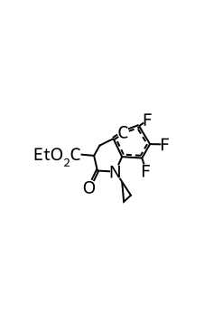 CCOC(=O)C1Cc2cc(F)c(F)c(F)c2N(C2CC2)C1=O